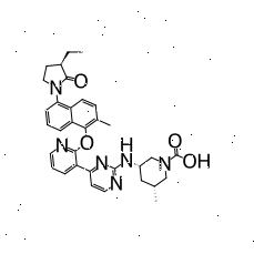 CC[C@@H]1CCN(c2cccc3c(Oc4ncccc4-c4ccnc(N[C@H]5C[C@@H](C)CN(C(=O)O)C5)n4)c(C)ccc23)C1=O